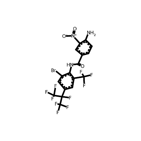 Nc1ccc(C(=O)Nc2c(Br)cc(C(F)(C(F)(F)F)C(F)(F)F)cc2C(F)(F)F)cc1[N+](=O)[O-]